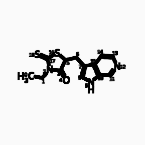 CCN1C(=O)C(Cc2c[nH]c3cnccc23)SC1=S